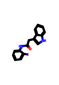 O=C(Cc1c[nH]c2ccccc12)Nc1ccccc1I